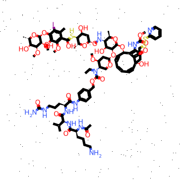 CCN(C(=O)OCc1ccc(NC(=O)[C@H](CCCNC(N)=O)NC(=O)[C@@H](NC(=O)[C@H](CCCCN)NC(C)=O)C(C)C)cc1)[C@H]1CO[C@@H](O[C@H]2[C@H](O[C@H]3C#CC=CC#C[C@]4(O)CC(=O)C(NC(=O)OC)=C3/C4=C\CSSc3ccccn3)O[C@H](C)[C@@H](NO[C@H]3C[C@H](O)[C@H]([SH]=C(O)c4c(C)c(I)c(O[C@@H]5O[C@@H](C)[C@H](O)[C@@H](OC)[C@H]5O)c(OC)c4OC)[C@@H](C)O3)[C@@H]2O)C[C@@H]1OC